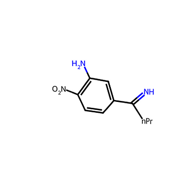 C[CH]CC(=N)c1ccc([N+](=O)[O-])c(N)c1